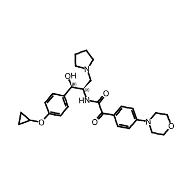 O=C(N[C@H](CN1CCCC1)[C@H](O)c1ccc(OC2CC2)cc1)C(=O)c1ccc(N2CCOCC2)cc1